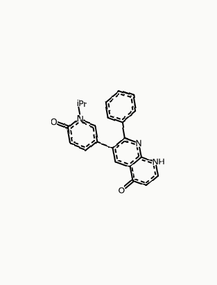 CC(C)n1cc(-c2cc3c(=O)cc[nH]c3nc2-c2ccccc2)ccc1=O